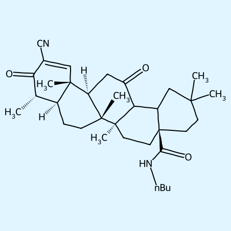 CCCCNC(=O)[C@]12CCC(C)(C)CC1C1C(=O)C[C@@H]3[C@@]4(C)C=C(C#N)C(=O)[C@@H](C)[C@@H]4CC[C@@]3(C)[C@]1(C)CC2